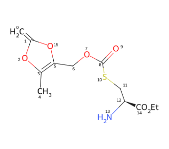 C=C1OC(C)=C(COC(=O)SC[C@H](N)C(=O)OCC)O1